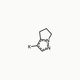 [K][c]1cnn2c1CCC2